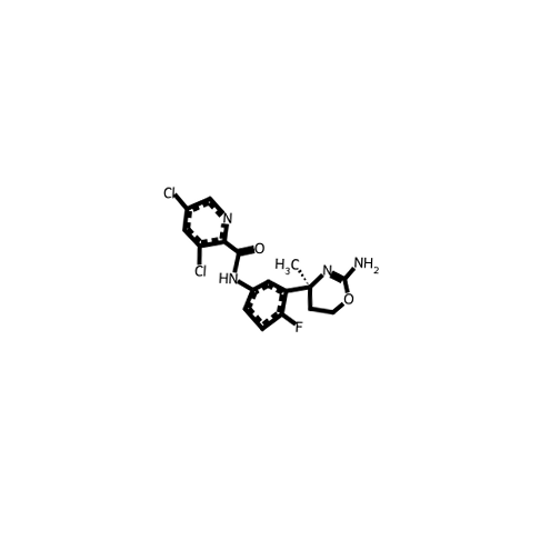 C[C@@]1(c2cc(NC(=O)c3ncc(Cl)cc3Cl)ccc2F)CCOC(N)=N1